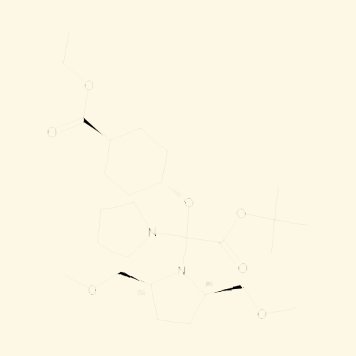 CCOC(=O)[C@H]1CC[C@H](OC(C(=O)OC(C)(C)C)(N2CCCC2)N2[C@@H](COC)CC[C@H]2COC)CC1